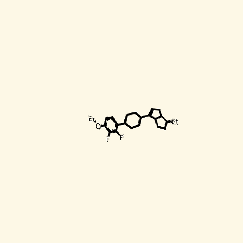 CCOc1ccc(C2CCC(C3=CCC4C(CC)CCC34)CC2)c(F)c1F